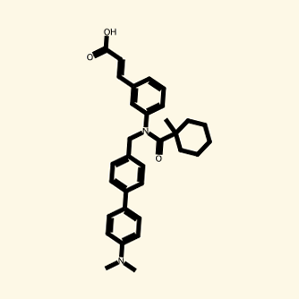 CN(C)c1ccc(-c2ccc(CN(C(=O)C3(C)CCCCC3)c3cccc(/C=C/C(=O)O)c3)cc2)cc1